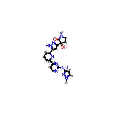 CN1CC[C@@](O)(c2cc(-c3cccc(-c4ccnc(Nc5ccn(C)n5)n4)n3)[nH]n2)C1=O